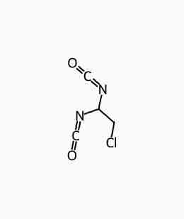 O=C=NC(CCl)N=C=O